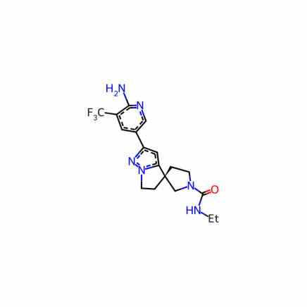 CCNC(=O)N1CC[C@]2(CCn3nc(-c4cnc(N)c(C(F)(F)F)c4)cc32)C1